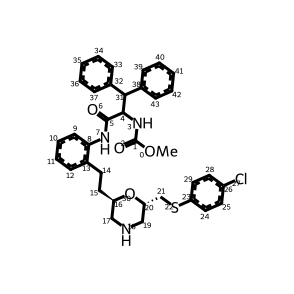 COC(=O)NC(C(=O)Nc1ccccc1CC[C@@H]1CNC[C@@H](CSc2ccc(Cl)cc2)O1)C(c1ccccc1)c1ccccc1